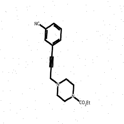 CCOC(=O)N1CCN(CC#Cc2cccc(C#N)c2)CC1